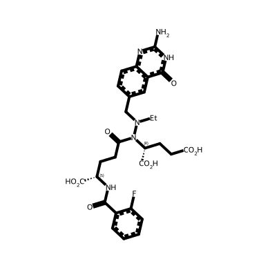 CCN(Cc1ccc2nc(N)[nH]c(=O)c2c1)N(C(=O)CC[C@H](NC(=O)c1ccccc1F)C(=O)O)[C@H](CCC(=O)O)C(=O)O